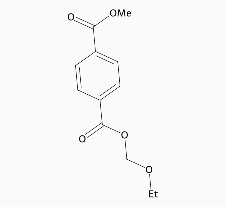 CCOCOC(=O)c1ccc(C(=O)OC)cc1